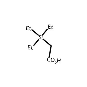 CC[Si](CC)(CC)CC(=O)O